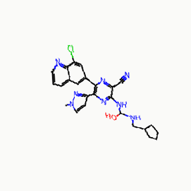 Cn1ccc(-c2nc(NC(O)NCC3CCCC3)c(C#N)nc2-c2cc(Cl)c3ncccc3c2)n1